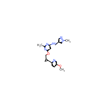 COc1ccc(C2CC2COc2cc(NCc3cnn(C)c3)nc(C)n2)nc1